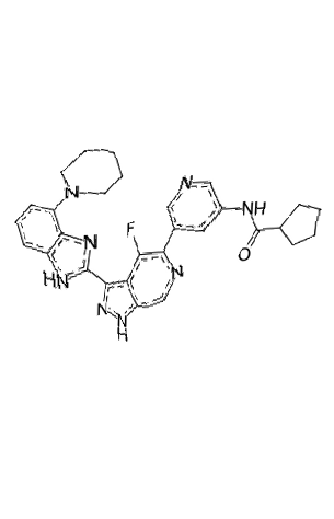 O=C(Nc1cncc(-c2ncc3[nH]nc(-c4nc5c(N6CCCCC6)cccc5[nH]4)c3c2F)c1)C1CCCC1